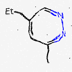 CCc1cnnc(C)c1